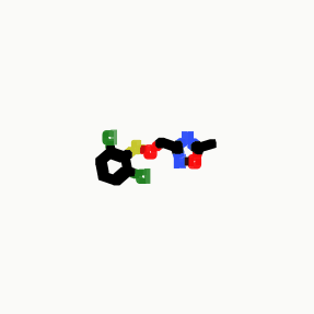 Cc1nc(COSc2c(Cl)cccc2Cl)no1